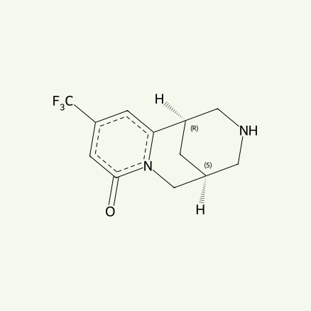 O=c1cc(C(F)(F)F)cc2n1C[C@@H]1CNC[C@H]2C1